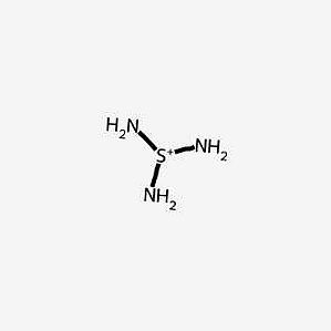 N[S+](N)N